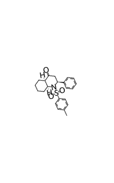 Cc1ccc(S(=O)(=O)N2[C@H](c3ccccc3)CC(=O)[C@@H]3CCCC[C@@H]32)cc1